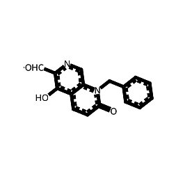 O=[C]c1ncc2c(ccc(=O)n2Cc2ccccc2)c1O